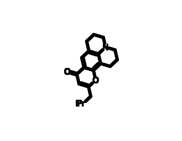 CC(C)Cc1cc(=O)c2cc3c4c(c2o1)CCCN4CCC3